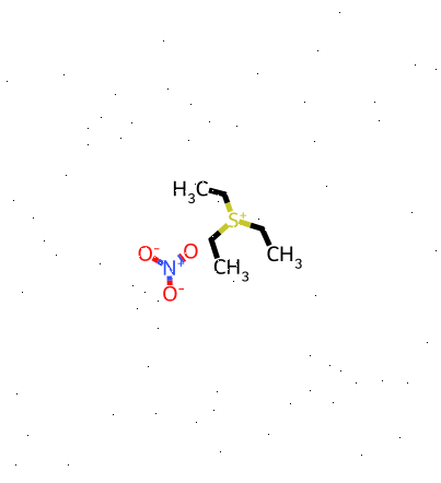 CC[S+](CC)CC.O=[N+]([O-])[O-]